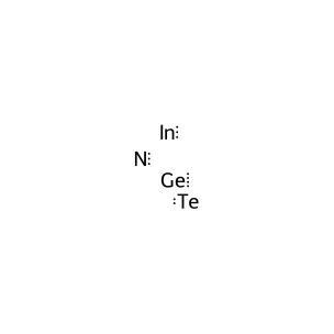 [Ge].[In].[N].[Te]